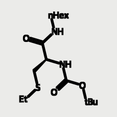 CCCCCCNC(=O)[C@H](CSCC)NC(=O)OC(C)(C)C